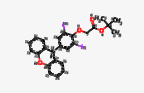 CC(C)(C)OC(=O)COc1c(I)cc([SiH]2c3ccccc3Oc3ccccc32)cc1I